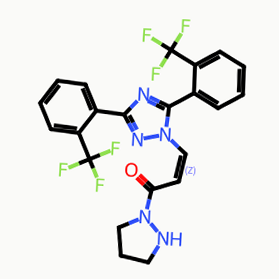 O=C(/C=C\n1nc(-c2ccccc2C(F)(F)F)nc1-c1ccccc1C(F)(F)F)N1CCCN1